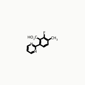 Cc1ccc(-c2ncccn2)c(C(=O)O)c1F